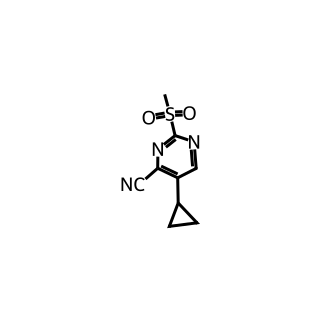 CS(=O)(=O)c1ncc(C2CC2)c(C#N)n1